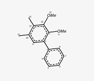 COc1c(-c2ccccc2)cc(C)c(C)c1OC